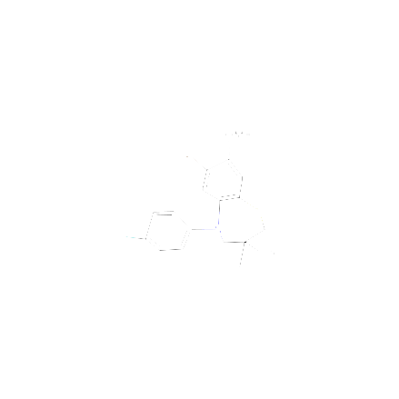 CCCCC1(C)CSc2cc(OC)c(Br)cc2N(c2ccc(F)cc2)C1